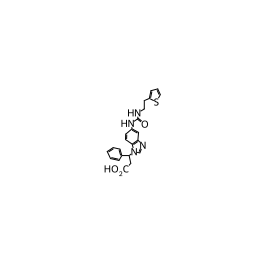 O=C(O)CC(c1ccccc1)n1cnc2cc(NC(=O)NCCc3cccs3)ccc21